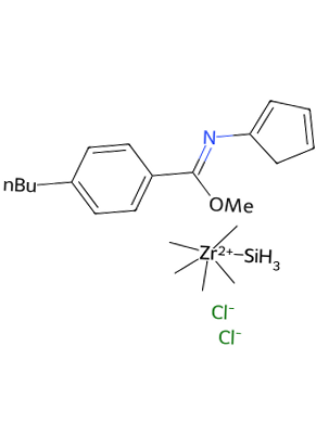 CCCCc1ccc(C(=NC2=CC=CC2)OC)cc1.[CH3][Zr+2]([CH3])([CH3])([CH3])([CH3])[SiH3].[Cl-].[Cl-]